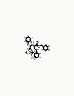 CC(C)(C)OC(=O)[C@H](Cc1ccccc1)N[C@H](CCc1ccccc1)C(=O)OCc1ccccc1